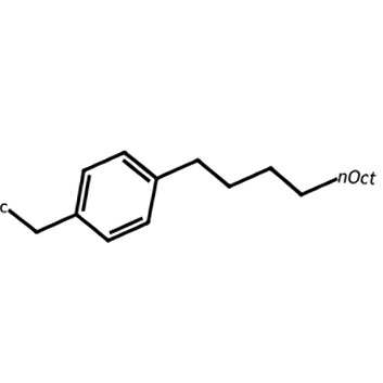 CCCCCCCCCCCCc1ccc(CC(C)=O)cc1